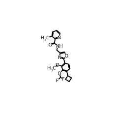 COc1c(-c2nc(CNC(=O)c3ncccc3C)co2)ccc(C2CCC2)c1OC(F)F